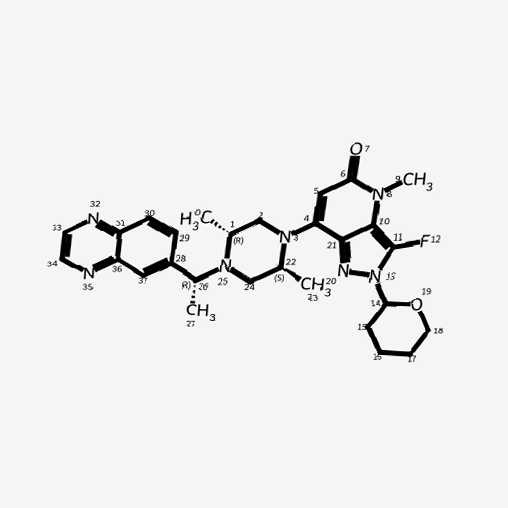 C[C@@H]1CN(c2cc(=O)n(C)c3c(F)n(C4CCCCO4)nc23)[C@@H](C)CN1[C@H](C)c1ccc2nccnc2c1